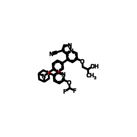 CC(O)COc1cc(-c2ccc(N3CC4CC(C3)N4Cc3ccc(OC(F)F)nc3)nc2)c2c(C#N)cnn2c1